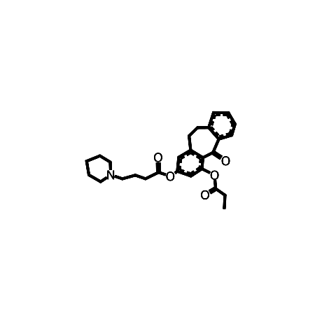 CCC(=O)Oc1cc(OC(=O)CCCN2CCCCC2)cc2c1C(=O)c1ccccc1CC2